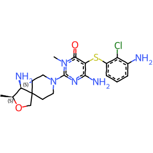 C[C@@H]1OCC2(CCN(c3nc(N)c(Sc4cccc(N)c4Cl)c(=O)n3C)CC2)[C@@H]1N